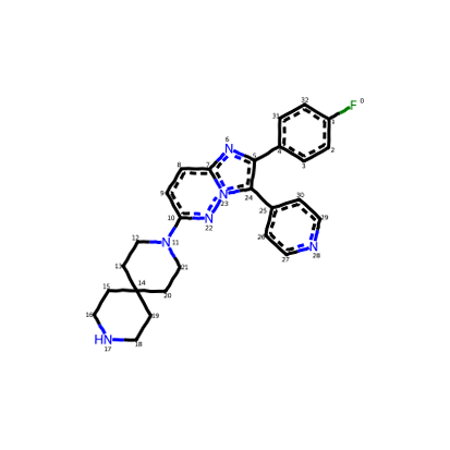 Fc1ccc(-c2nc3ccc(N4CCC5(CCNCC5)CC4)nn3c2-c2ccncc2)cc1